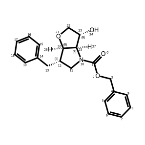 O=C(OCc1ccccc1)N1C[C@H](Cc2ccccc2)[C@H]2OC[C@H](O)[C@H]21